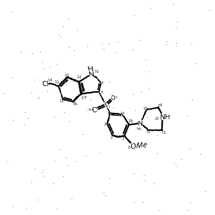 COc1ccc(S(=O)(=O)c2c[nH]c3cc(Cl)ccc23)cc1N1CCNCC1